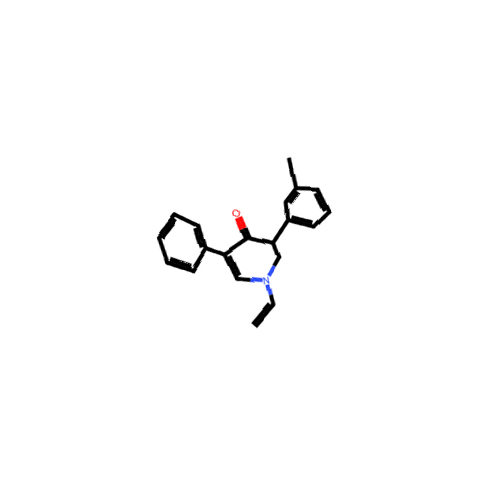 C=CN1C=C(c2ccccc2)C(=O)C(c2cccc(C)c2)C1